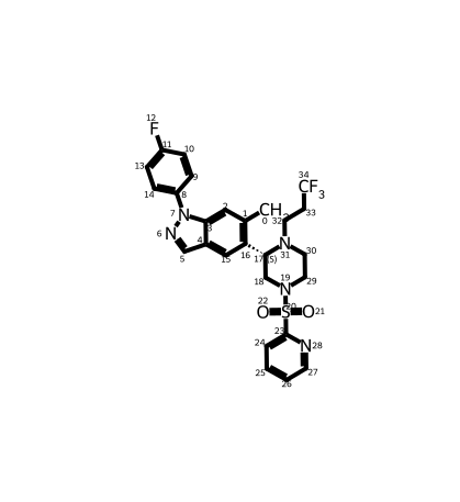 Cc1cc2c(cnn2-c2ccc(F)cc2)cc1[C@H]1CN(S(=O)(=O)c2ccccn2)CCN1CCC(F)(F)F